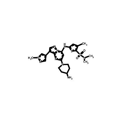 Cc1cc(Nc2cc(N3CCC(N)CC3)nc3c(-c4cnn(C)c4)cnn23)sc1S(=O)(=O)N(C)C